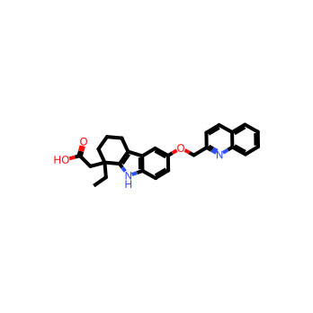 CCC1(CC(=O)O)CCCc2c1[nH]c1ccc(OCc3ccc4ccccc4n3)cc21